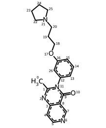 Cc1nc2ccncc2c(=O)n1-c1cccc(OCCCN2CCCC2)c1